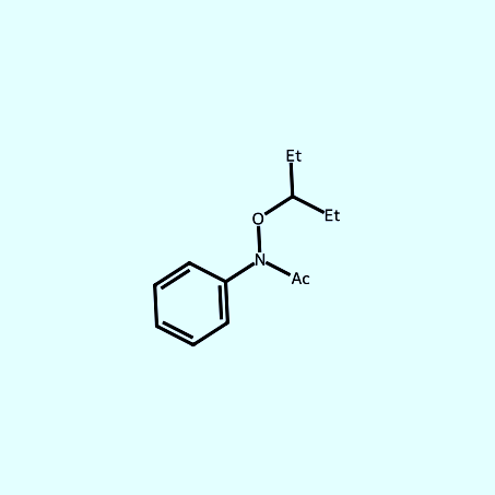 CCC(CC)ON(C(C)=O)c1ccccc1